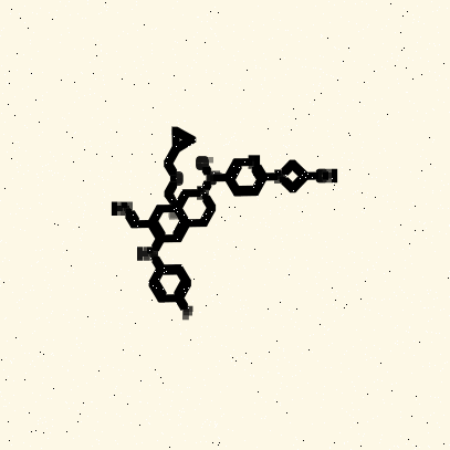 N=CC1=C(Nc2ccc(F)cc2)C=C2CCN([S+]([O-])c3ccc(N4CC(O)C4)nc3)C[C@@]2(COCC2CC2)C1